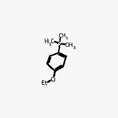 CCOc1ccc(S(C)(C)C)cc1